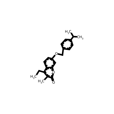 CCc1c(C)c(=O)oc2cc(OCc3ccc(C(C)C)cc3)ccc12